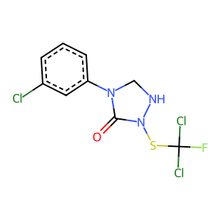 O=C1N(SC(F)(Cl)Cl)NCN1c1cccc(Cl)c1